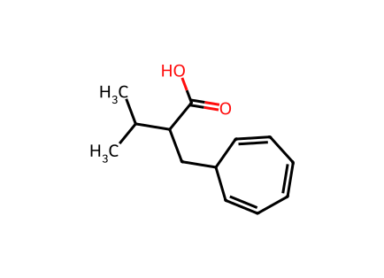 CC(C)C(CC1C=CC=CC=C1)C(=O)O